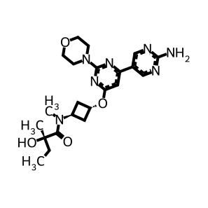 CC[C@](C)(O)C(=O)N(C)[C@H]1C[C@H](Oc2cc(-c3cnc(N)nc3)nc(N3CCOCC3)n2)C1